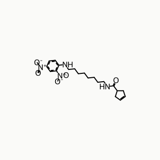 O=C(NCCCCCCCCNc1ccc([N+](=O)[O-])cc1[N+](=O)[O-])C1CC=CC1